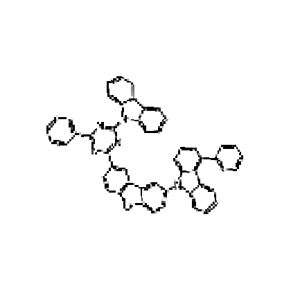 c1ccc(-c2nc(-c3ccc4oc5ccc(-n6c7ccccc7c7c(-c8ccccc8)cccc76)cc5c4c3)nc(-n3c4ccccc4c4ccccc43)n2)cc1